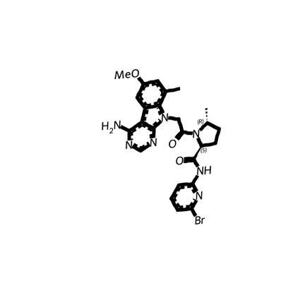 COc1cc(C)c2c(c1)c1c(N)ncnc1n2CC(=O)N1[C@H](C)CC[C@H]1C(=O)Nc1cccc(Br)n1